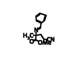 COC(=O)[C@@](C)(CCC#N)N=Cc1ccccc1